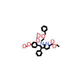 CCOC(=O)c1ccc2c(-c3ccccc3)c(-c3ccc(OCOC)cc3OCOC)n(CCOCc3ccccc3)c2n1